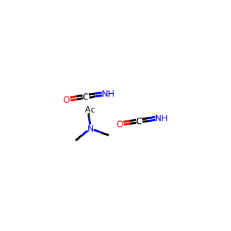 CC(=O)N(C)C.N=C=O.N=C=O